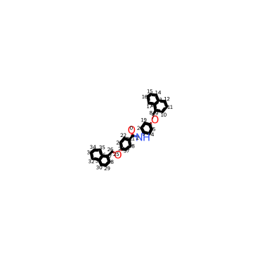 O=C(Nc1ccc(OCc2cccc3ccccc23)cc1)c1ccc(OCc2cccc3ccccc23)cc1